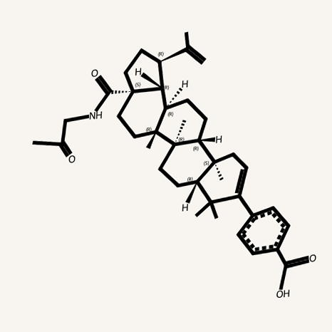 C=C(C)[C@@H]1CC[C@]2(C(=O)NCC(C)=O)CC[C@]3(C)[C@H](CC[C@@H]4[C@@]5(C)CC=C(c6ccc(C(=O)O)cc6)C(C)(C)[C@@H]5CC[C@]43C)[C@@H]12